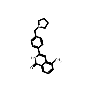 Cc1cccc2c(=O)[nH]c(-c3ccc(CN4CCCC4)cc3)cc12